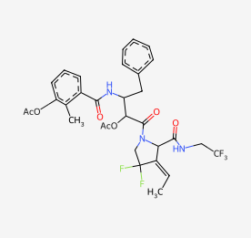 C/C=C1/C(C(=O)NCC(F)(F)F)N(C(=O)C(OC(C)=O)C(Cc2ccccc2)NC(=O)c2cccc(OC(C)=O)c2C)CC1(F)F